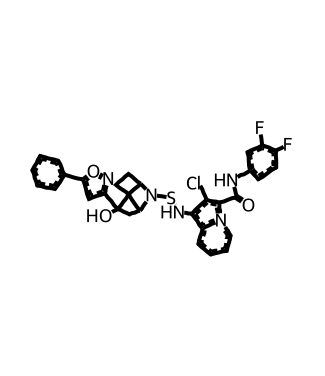 O=C(Nc1ccc(F)c(F)c1)c1c(Cl)c(NSN2C3CCC34C2CC4(O)c2cc(-c3ccccc3)on2)c2ccccn12